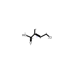 C/C(=C\CCl)C(=O)O